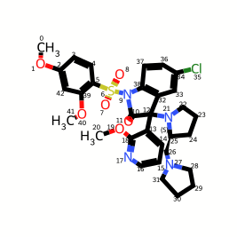 COc1ccc(S(=O)(=O)N2C(=O)C(c3cccnc3OC)(N3CCC[C@H]3CN3CCCC3)c3cc(Cl)ccc32)c(OC)c1